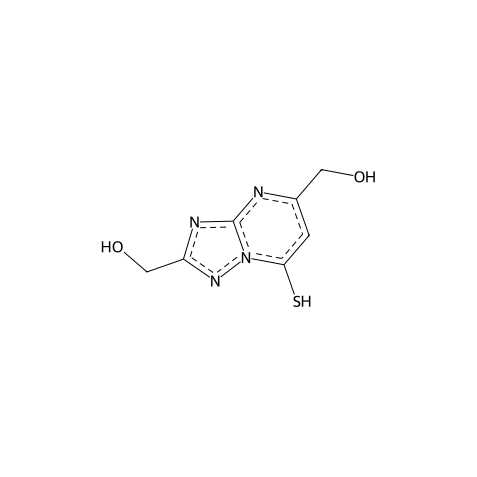 OCc1cc(S)n2nc(CO)nc2n1